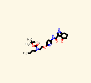 CCCCN(CCOc1ccc(NC(=O)c2c[nH]c3c2C(=O)CCC3)cn1)C(=O)OC(C)(C)C